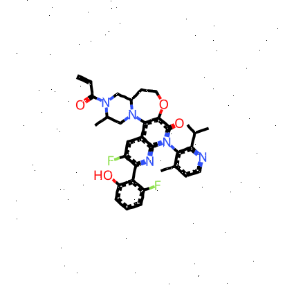 C=CC(=O)N1CC2CCOc3c(c4cc(F)c(-c5c(O)cccc5F)nc4n(-c4c(C)ccnc4C(C)C)c3=O)N2CC1C